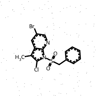 Cc1c(Cl)n(S(=O)(=O)Cc2ccccc2)c2ncc(Br)cc12